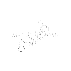 COCC1(n2c(NS(=O)(=O)[C@@H](C)[C@H](OC)c3ncc(Cl)cn3)nnc2-c2noc3ccccc23)CC1